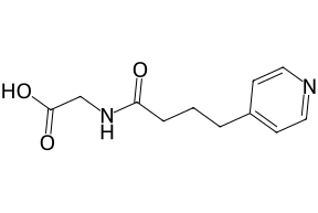 O=C(O)CNC(=O)CCCc1ccncc1